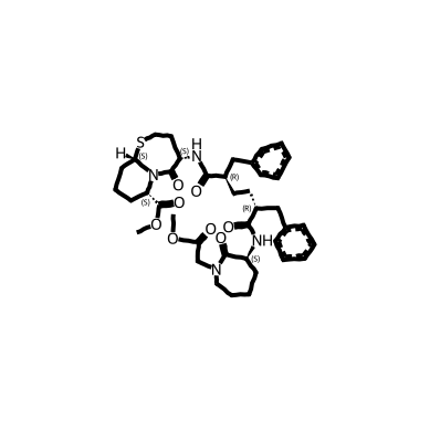 COC(=O)CN1CCCC[C@H](NC(=O)[C@H](CC[C@H](Cc2ccccc2)C(=O)N[C@H]2CCS[C@H]3CCC[C@@H](C(=O)OC)N3C2=O)Cc2ccccc2)C1=O